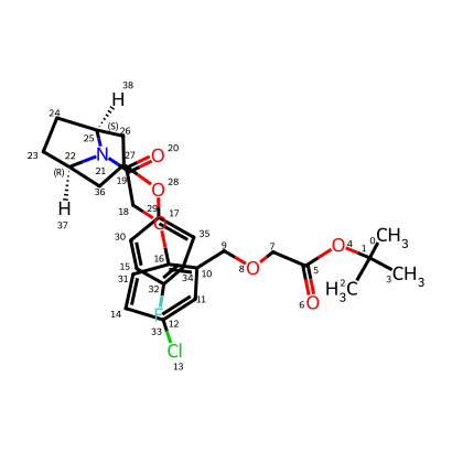 CC(C)(C)OC(=O)COCc1cc(Cl)ccc1OCC(=O)N1[C@@H]2CC[C@H]1CC(Oc1ccc(F)cc1)C2